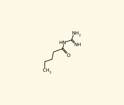 CCCCC(=O)NC(=N)N